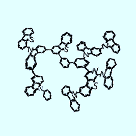 c1ccc(-n2c3ccccc3c3cc(-c4ccc5c(c4)c4cc(-c6cc(-c7cccc(-c8cc(-c9cc%10c(sc%11ccc(-n%12c%13ccccc%13c%13ccccc%13%12)cc%11%10)c(-n%10c%11ccccc%11c%11ccccc%11%10)n9)cc(-n9c%10ccccc%10c%10cc(-n%11c%12ccccc%12c%12ccccc%12%11)ccc%109)c8)c7)c7sc8ccccc8c7c6)ccc4n5-c4cccc5c4sc4ccccc45)ccc32)cc1